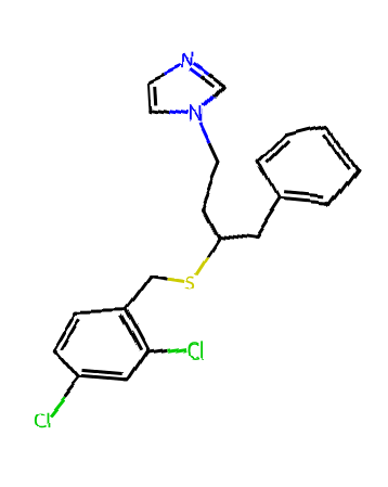 Clc1ccc(CSC(CCn2ccnc2)Cc2ccccc2)c(Cl)c1